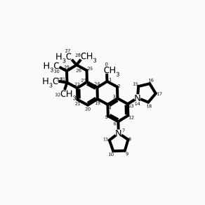 CC1Cc2c(cc(N3CCCC3)cc2N2CCCC2)-c2ccc3c(c21)CC(C)(C)C(C)C3(C)C